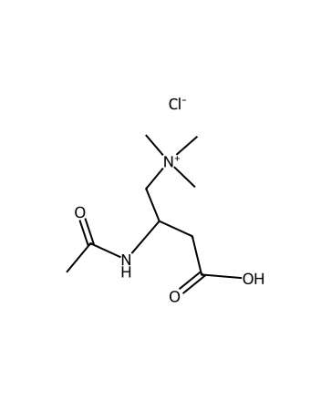 CC(=O)NC(CC(=O)O)C[N+](C)(C)C.[Cl-]